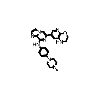 CN1CCN(c2ccc(Nc3nc(-c4cnc5c(c4)NCCO5)cn4ccnc34)cc2)CC1